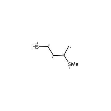 [CH2]C(CCS)SC